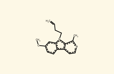 C=CCCn1c2cc(OC)ccc2c2ccnc(C)c21